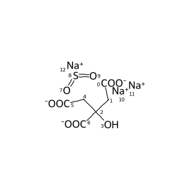 O=C([O-])CC(O)(CC(=O)[O-])C(=O)[O-].O=S=O.[Na+].[Na+].[Na+]